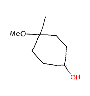 COC1(C)CC[C](O)CC1